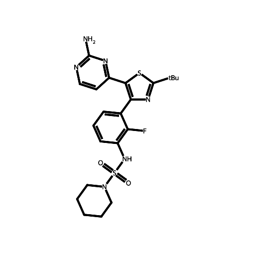 CC(C)(C)c1nc(-c2cccc(NS(=O)(=O)N3CCCCC3)c2F)c(-c2ccnc(N)n2)s1